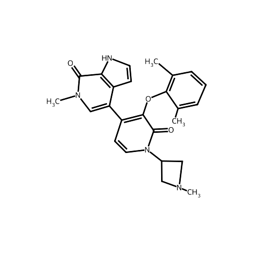 Cc1cccc(C)c1Oc1c(-c2cn(C)c(=O)c3[nH]ccc23)ccn(C2CN(C)C2)c1=O